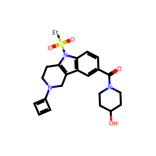 CCS(=O)(=O)n1c2c(c3cc(C(=O)N4CCC(O)CC4)ccc31)CN(C1=CC=C1)CC2